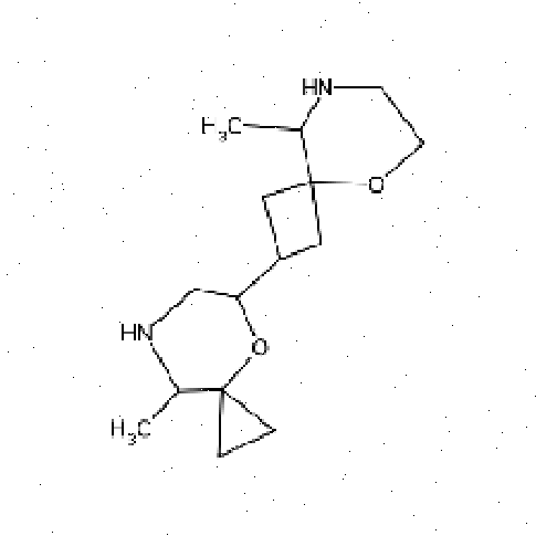 CC1NCCOC12CC(C1CNC(C)C3(CC3)O1)C2